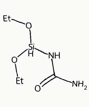 CCO[SiH](NC(N)=O)OCC